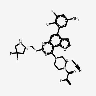 C=C(F)C(=O)N1CCN(c2nc(OC[C@@H]3CC(F)(F)CN3)nc3cc(-c4cc(N)cc(F)c4Cl)c4ccoc4c23)C[C@@H]1CC#N